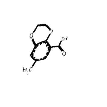 Cc1cc2c(c(C(=O)S)c1)OCCO2